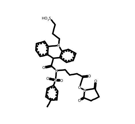 Cc1ccc(S(=O)(=O)N(CCCC(=O)ON2C(=O)CCC2=O)C(=O)C2c3ccccc3N(CCCS(=O)(=O)O)c3ccccc32)cc1